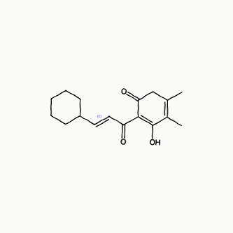 CC1=C(C)C(O)=C(C(=O)/C=C/C2CCCCC2)C(=O)C1